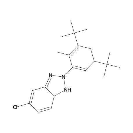 CC1=C(C(C)(C)C)CC(C(C)(C)C)C=C1N1N=C2C=C(Cl)C=CC2N1